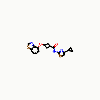 O=C(Nc1nc(C2CC2)cs1)C1CC(Oc2cccc3scnc23)C1